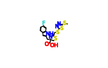 CSc1nnc(SCC2=NC(Cc3cc4ccc(F)cc4[nH]3)(C(=O)O)CS2)s1